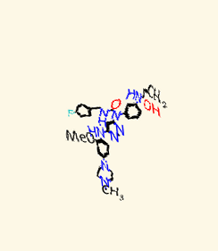 C=CC(O)Nc1cccc(N(C(=O)NCc2ccc(F)cc2)c2cc(Nc3ccc(N4CCN(C)CC4)cc3OC)ncn2)c1